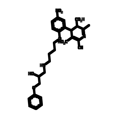 CC1=NC(C#N)=C(C(=O)O)C(c2cc([N+](=O)[O-])ccc2OCCCCNCC(O)COc2ccccc2)C1C(=O)O